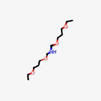 CCOCCCOCNCOCCCOCC